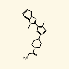 Cn1c(-c2cc(N3CCN(C(=O)CN)CC3)ccc2F)nc2ccccc21